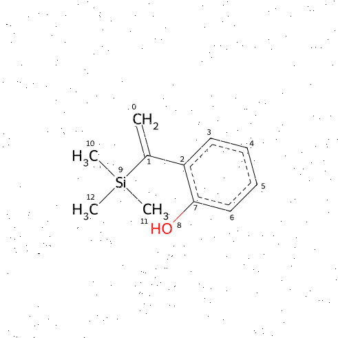 C=C(c1ccccc1O)[Si](C)(C)C